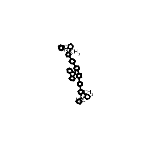 CC12CCCCC1(C)N(c1ccccc1)c1ccc(-c3ccc(-c4ccc5c(c4)C4(c6ccccc6-c6ccccc64)c4cc(-c6ccc(-c7ccc8c(c7)C7(C)CCCCC7(C)N8c7ccccc7)cc6)ccc4-5)cc3)cc12